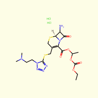 CCOC(=O)OC(C)OC(=O)C1=C(CSc2nnnn2CCN(C)C)CS[C@H]2C(N)C(=O)N12.Cl.Cl